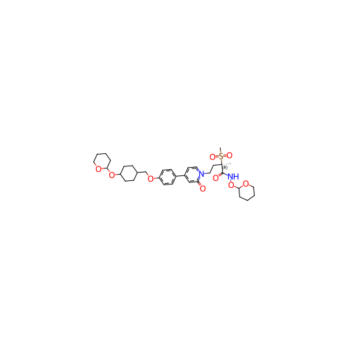 C[C@@](CCn1ccc(-c2ccc(OCC3CCC(OC4CCCCO4)CC3)cc2)cc1=O)(C(=O)NOC1CCCCO1)S(C)(=O)=O